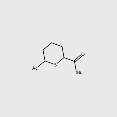 CC(=O)C1CCCC(C(=O)C(C)(C)C)S1